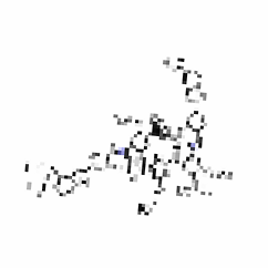 CCN(CC)c1cc(Nc2nc(Nc3cc(N(CC)CC)c(OC)cc3/N=N/c3ccc(-c4nc5ccc(C)c(S(=O)(=O)O)c5s4)cc3S(=O)(=O)O)nc(SCCO)n2)c(/N=N/c2ccc(-c3nc4ccc(C)cc4s3)cc2S(=O)(=O)O)cc1OC